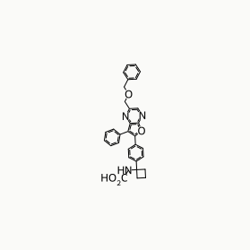 O=C(O)NC1(c2ccc(-c3oc4ncc(COCc5ccccc5)nc4c3-c3ccccc3)cc2)CCC1